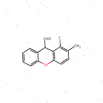 Cc1ccc2c(c1F)C(C=O)c1ccccc1O2